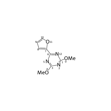 COc1nc(OC)nc(-c2ccco2)n1